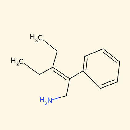 CCC(CC)=C(CN)c1ccccc1